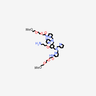 COCCOCCOCC(=O)Nc1cccc(CN(Cc2cc(CN(Cc3cccc(NC(=O)COCCOCCOC)n3)c3ccccn3)cc(OCCCCN)c2)Cc2ccccn2)n1